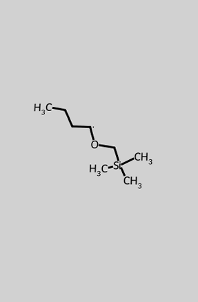 CCC[CH]OC[Si](C)(C)C